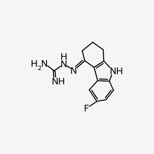 N=C(N)NN=C1CCCc2[nH]c3ccc(F)cc3c21